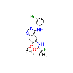 C=C(F)C(=O)Nc1cc2c(Nc3cccc(Br)c3)ncnc2cc1OCC